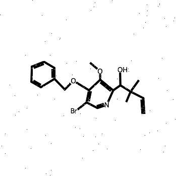 C=CC(C)(C)C(O)c1ncc(Br)c(OCc2ccccc2)c1OC